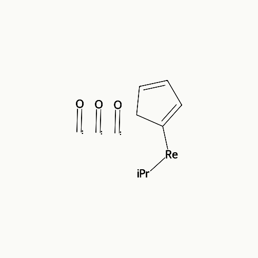 C[CH](C)[Re][C]1=CC=CC1.[C]=O.[C]=O.[C]=O